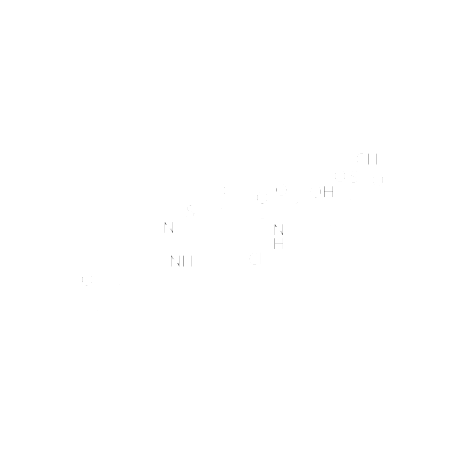 CS(=O)(=O)c1cccc(C[C@H](NC(=O)c2c(Cl)cc3c(NCc4ccc5ccocc4-5)nsc3c2Cl)C(=O)O)c1